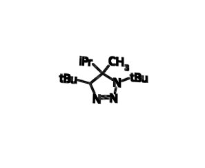 CC(C)C1(C)C(C(C)(C)C)N=NN1C(C)(C)C